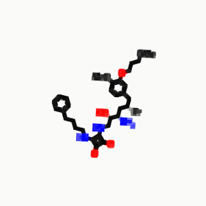 COCCCOc1cc(C[C@@H](C[C@H](N)[C@@H](O)CNc2c(NCCCCc3ccccc3)c(=O)c2=O)C(C)C)ccc1OC